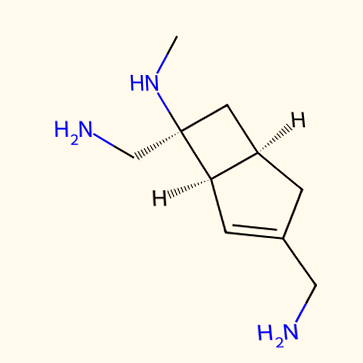 CN[C@@]1(CN)C[C@H]2CC(CN)=C[C@H]21